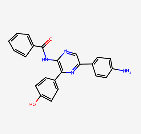 Nc1ccc(-c2cnc(NC(=O)c3ccccc3)c(-c3ccc(O)cc3)n2)cc1